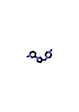 CN1CCN(CC2CCN(C3CCCN(C)C3)C2)CC1